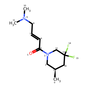 C[C@H]1CN(C(=O)/C=C/CN(C)C)CC(F)(F)C1